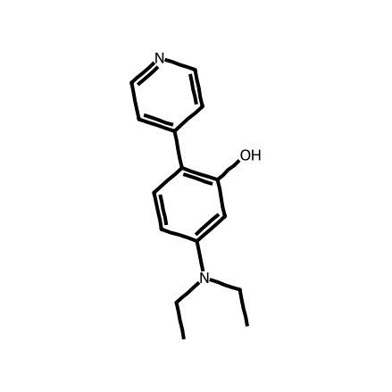 CCN(CC)c1ccc(-c2ccncc2)c(O)c1